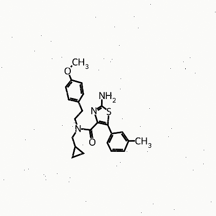 COc1ccc(CCN(CC2CC2)C(=O)c2nc(N)sc2-c2cccc(C)c2)cc1